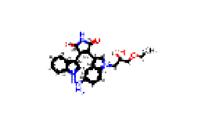 CCOCC(O)Cn1cc(C2=C(c3c[nH]c4ccccc34)C(=O)NC2=O)c2cc(N)ccc21